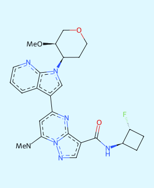 CNc1cc(-c2cn([C@@H]3CCOC[C@@H]3OC)c3ncccc23)nc2c(C(=O)N[C@@H]3CC[C@H]3F)cnn12